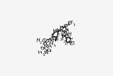 CC(C)(CNC(=O)C(N)=O)CNc1ccc(Nc2nc(NC3(c4ccc(Cl)cc4)CC3)nc(OCC(F)(F)F)n2)cc1F